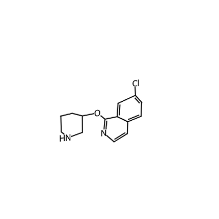 Clc1ccc2ccnc(OC3CCCNC3)c2c1